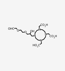 O=CCOCCOCC(O)CN1CCN(CC(=O)O)CCN(CC(=O)O)CCN(CC(=O)O)CC1